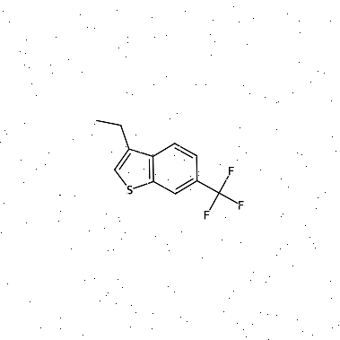 CCc1csc2cc(C(F)(F)F)ccc12